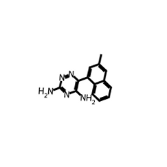 Cc1cc(-c2nnc(N)nc2N)c2ccccc2c1